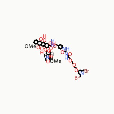 COc1cccc2c1C(=O)c1c(O)c3c(c(O)c1C2=O)C[C@@](O)(C(=O)NOCc1ccc(NC(=O)CNC(=O)CCOCCOCCOc2cc(CBr)nc(CBr)c2)cc1)C[C@@H]3O[C@H]1C[C@H]2[C@H](O[C@@H]3[C@@H](OC)OCCN32)[C@H](C)O1